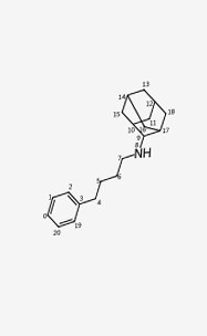 c1ccc(CCCCNC2C3CC4CC(C3)CC2C4)cc1